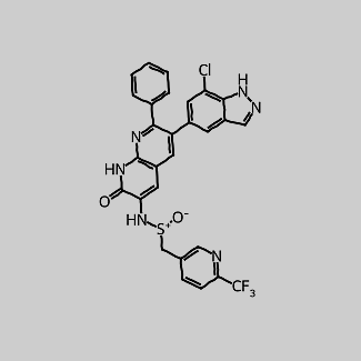 O=c1[nH]c2nc(-c3ccccc3)c(-c3cc(Cl)c4[nH]ncc4c3)cc2cc1N[S+]([O-])Cc1ccc(C(F)(F)F)nc1